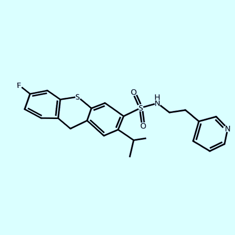 CC(C)c1cc2c(cc1S(=O)(=O)NCCc1cccnc1)Sc1cc(F)ccc1C2